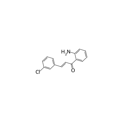 Nc1ccccc1C(=O)/C=C/c1cccc(Cl)c1